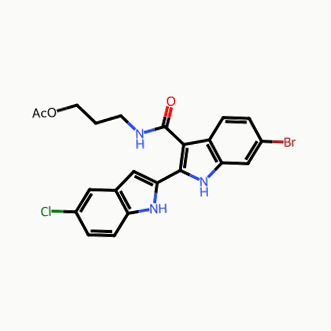 CC(=O)OCCCNC(=O)c1c(-c2cc3cc(Cl)ccc3[nH]2)[nH]c2cc(Br)ccc12